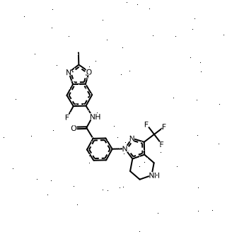 Cc1nc2cc(F)c(NC(=O)c3cccc(-n4nc(C(F)(F)F)c5c4CCNC5)c3)cc2o1